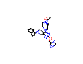 C=CC(=O)N1CCN(c2nc(OCC3CN(C)CCN3C)nc3c2CCN(c2cccc4ccccc24)C3)CC1